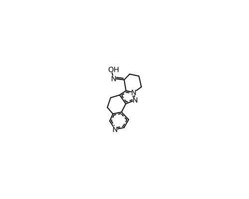 O/N=C1\CCCn2nc3c(c21)CCc1cnccc1-3